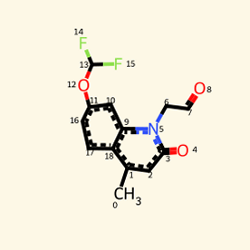 Cc1cc(=O)n(CC=O)c2cc(OC(F)F)ccc12